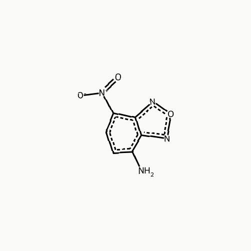 Nc1ccc([N+](=O)[O-])c2nonc12